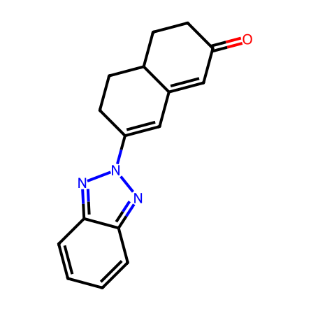 O=C1C=C2C=C(n3nc4ccccc4n3)CCC2CC1